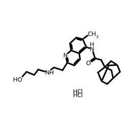 Cc1ccc2nc(CCNCCCO)ccc2c1NC(=O)CC12CC3CC(CC(C3)C1)C2.Cl.Cl